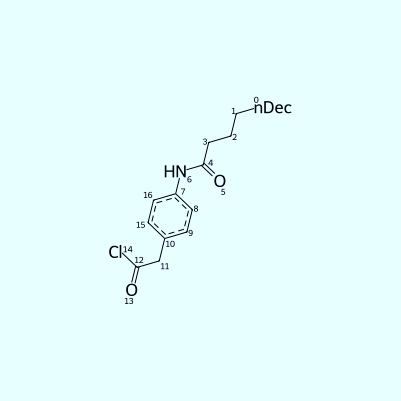 CCCCCCCCCCCCCC(=O)Nc1ccc(CC(=O)Cl)cc1